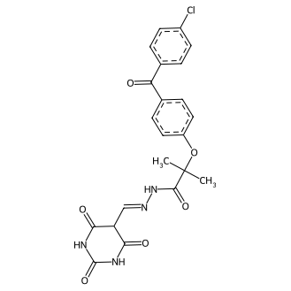 CC(C)(Oc1ccc(C(=O)c2ccc(Cl)cc2)cc1)C(=O)N/N=C/C1C(=O)NC(=O)NC1=O